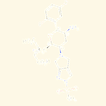 CS(=O)(=O)n1cc2c(n1)CN([C@@H]1C[C@H](N)[C@@H](c3cc(F)ccc3F)O[C@@H]1C(F)(F)F)C2.O=C(O)/C=C/C(=O)O